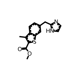 COC(=O)c1sc2cc(Cc3ncc[nH]3)ccc2c1C